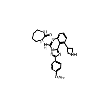 COc1ccc(-c2nc3c4c(C5CNC5)cccc4nc(N[C@@H]4CCCCNC4=O)n3n2)cc1